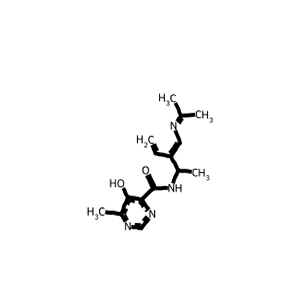 C=C/C(=C\N=C(C)C)C(C)NC(=O)c1ncnc(C)c1O